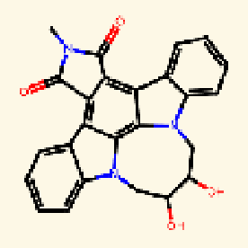 CN1C(=O)c2c(c3c4ccccc4n4c3c3c2c2ccccc2n3CC(O)C(O)C4)C1=O